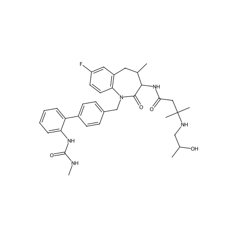 CNC(=O)Nc1ccccc1-c1ccc(CN2C(=O)C(NC(=O)CC(C)(C)NCC(C)O)C(C)Cc3cc(F)ccc32)cc1